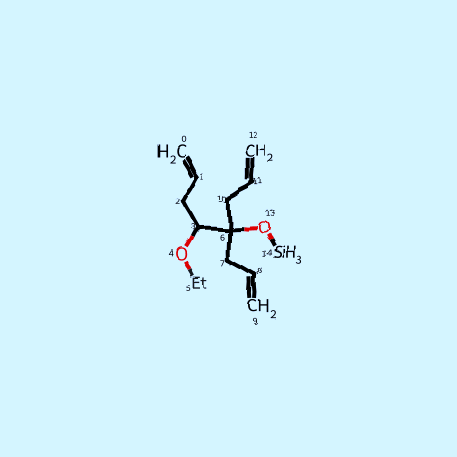 C=CCC(OCC)C(CC=C)(CC=C)O[SiH3]